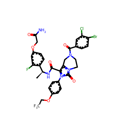 C[C@H](NC(=O)c1c2n(c(=O)n1-c1ccc(OCC(F)(F)F)cc1)CCN(C(=O)c1ccc(Br)c(Cl)c1)C2)c1ccc(OCC(N)=O)cc1F